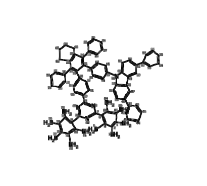 Bc1c(B)c(B)c(-c2nc(-c3ccc(-c4c(-c5ccccc5)c5c(c(-c6ccccc6)c4-c4ccc(-n6c7ccc(-c8ccccc8)cc7c7cc(-c8ccccc8)ccc76)cc4)CCCC5)cc3)nc(-c3c(B)c(B)c(B)c(B)c3B)n2)c(B)c1B